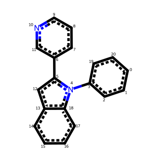 c1ccc(-n2c(-c3cccnc3)cc3ccccc32)cc1